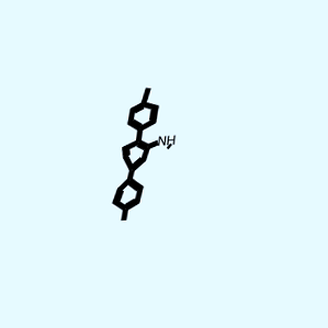 CNc1cc(-c2ccc(C)cc2)ccc1-c1ccc(C)cc1